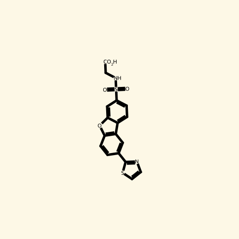 O=C(O)CNS(=O)(=O)c1ccc2c(c1)oc1ccc(-c3nccs3)cc12